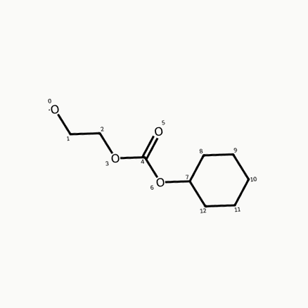 [O]CCOC(=O)OC1CCCCC1